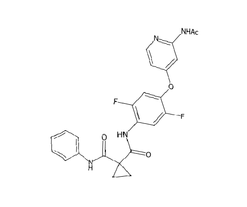 CC(=O)Nc1cc(Oc2cc(F)c(NC(=O)C3(C(=O)Nc4ccccc4)CC3)cc2F)ccn1